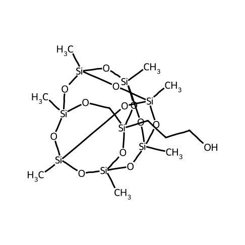 C[Si]12OC[Si]3(CCCO)O[Si]4(C)O[Si](C)(O1)O[Si]1(C)O[Si](C)(O2)O[Si](C)(O3)O[Si](C)(O4)O1